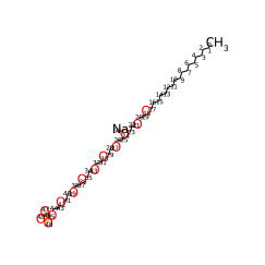 CCCCCCCCCCCCCCCCCCOCCOCCOCCOCCOCCOCCOCCOCCOCCOS(=O)(=O)[O-].[Na+]